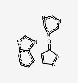 O=C1C=CN=N1.c1ccc2scnc2c1.c1ncncn1